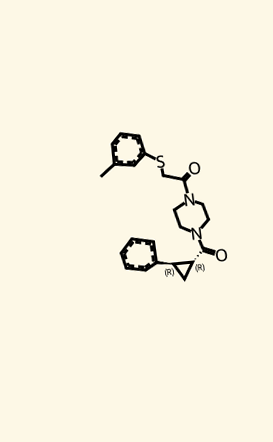 Cc1cccc(SCC(=O)N2CCN(C(=O)[C@@H]3C[C@H]3c3ccccc3)CC2)c1